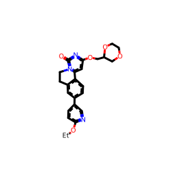 CCOc1ccc(-c2ccc3c(c2)CCn2c-3cc(OCC3COCCO3)nc2=O)cn1